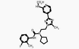 Cc1c(F)cccc1NC(=O)N(CCn1nc(-c2ccnc(NC(=O)O)c2)nc1C)C1CCCC1